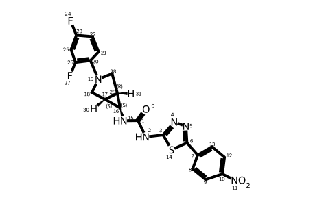 O=C(Nc1nnc(-c2ccc([N+](=O)[O-])cc2)s1)N[C@H]1[C@@H]2CN(c3ccc(F)cc3F)C[C@@H]21